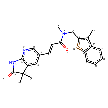 Cc1c(CN(C)C(=O)C=Cc2cnc3c(c2)C(C)(C)C(=O)N3)sc2ccccc12